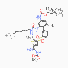 CSc1sc(C(=N)NC(=O)OC(C)(C)C)cc1S(=O)(=O)c1cccc(-c2c(C)cc(NC(=O)OCC[Si](C)(C)C)cc2NC(=O)NCCCCCC(=O)O)c1